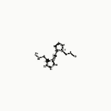 CCCn1ccc[c]1[Ru][c]1cccn1CCC